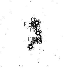 O=C(Nc1ccc(C[C@@H](CO)NC[C@H](O)COc2ccccc2)cc1)N(OC(=O)C(F)(F)F)c1cccc(Cl)c1